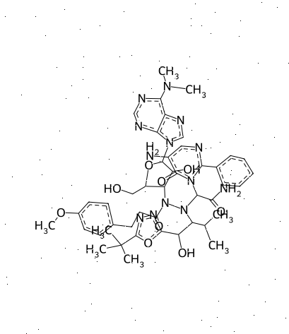 COc1ccc(CCC(=O)N(C2C(CO)OC(n3cnc4c(N(C)C)ncnc43)C2O)N(C(C(C)C)C(O)c2nnc(C(C)(C)C)o2)C(C(N)=O)n2c(-c3ccccc3)ncc(N)c2=O)cc1